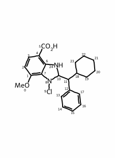 COc1ccc(C(=O)O)c2c1N(Cl)C(C(c1ccccc1)C1CCCCC1)N2